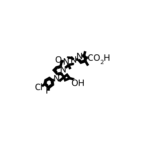 Cc1cc(N2CCN(C(=O)c3ccc4c(n3)C3(CC(CO)C3)CN4c3ccc(Cl)c(F)c3)C(C)(C)C2)nc(C)c1C(=O)O